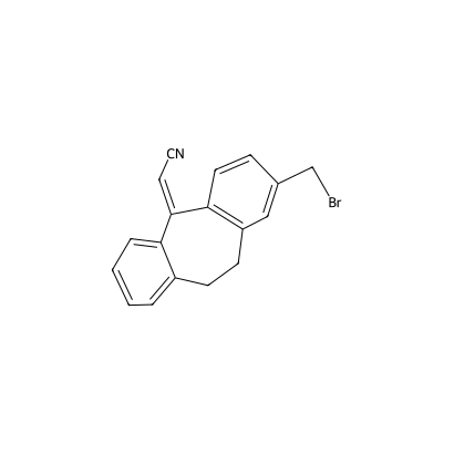 N#CC=C1c2ccccc2CCc2cc(CBr)ccc21